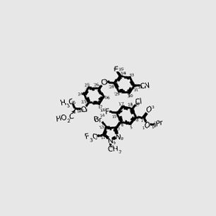 CC(C)OC(=O)c1cc(-c2nn(C)c(C(F)(F)F)c2Br)c(F)cc1Cl.C[C@@H](Oc1ccc(Oc2ccc(C#N)cc2F)cc1)C(=O)O